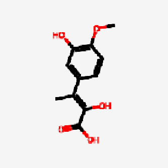 COc1ccc(C(C)=C(O)C(=O)O)cc1O